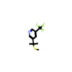 CSC(C)(C)c1cncc(C(F)(F)F)c1